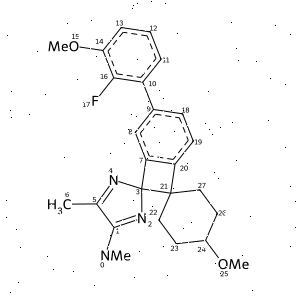 CNC1=NC2(N=C1C)c1cc(-c3cccc(OC)c3F)ccc1C21CCC(OC)CC1